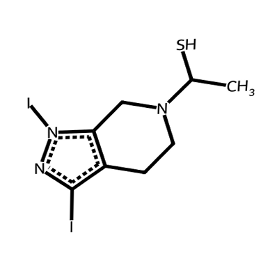 CC(S)N1CCc2c(I)nn(I)c2C1